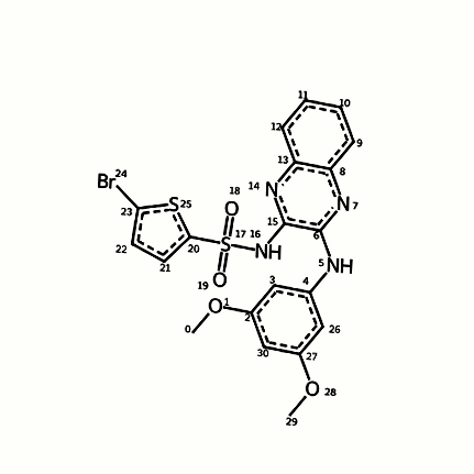 COc1cc(Nc2nc3ccccc3nc2NS(=O)(=O)c2ccc(Br)s2)cc(OC)c1